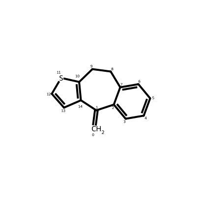 C=C1c2ccccc2CCc2sccc21